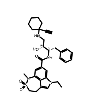 C#CC1(NC[C@@H](O)[C@H](Cc2ccccc2)NC(=O)c2cc3c4c(cn(CC)c4c2)CCS(=O)(=O)N3C)CCCCC1